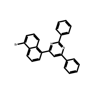 Brc1cccc2c(-c3cc(-c4ccccc4)nc(-c4ccccc4)n3)cccc12